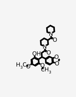 COc1cc(O)c(C(CC(=O)N2CCCC(C(=O)N3CCCCC3)C2)c2ccc3c(c2)OCO3)c(OC)c1